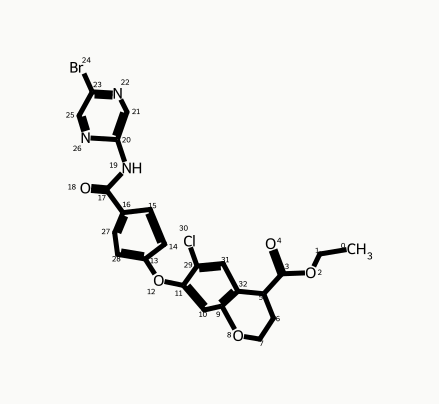 CCOC(=O)C1CCOc2cc(Oc3ccc(C(=O)Nc4cnc(Br)cn4)cc3)c(Cl)cc21